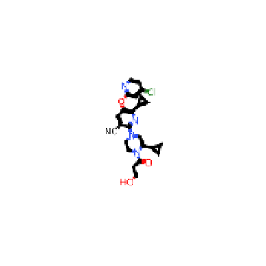 N#Cc1cc(Oc2cc(Cl)ccn2)c(C2CC2)nc1N1CCN(C(=O)CCO)C(C2CC2)C1